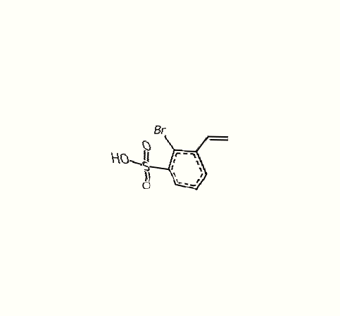 C=Cc1cccc(S(=O)(=O)O)c1Br